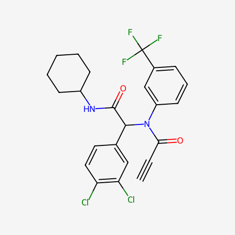 C#CC(=O)N(c1cccc(C(F)(F)F)c1)C(C(=O)NC1CCCCC1)c1ccc(Cl)c(Cl)c1